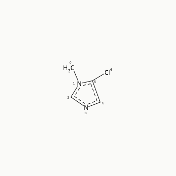 Cn1cncc1Cl